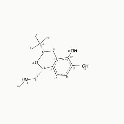 CNC[C@@H]1O[C@H](C(C)(C)C)Cc2c1ccc(O)c2O